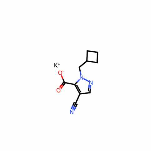 N#Cc1cnn(CC2CCC2)c1C(=O)[O-].[K+]